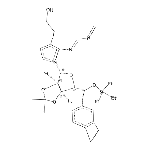 C=NC=Nc1c(CCO)ccn1[C@@H]1O[C@H](C(O[Si](CC)(CC)CC)c2ccc3c(c2)CC3)[C@H]2OC(C)(C)O[C@H]21